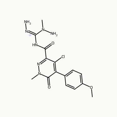 COc1ccc(-c2c(Cl)c(C(=O)N/C(=N/N)N(C)N)nn(C)c2=O)cc1